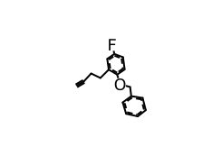 C#CCCc1cc(F)ccc1OCc1ccccc1